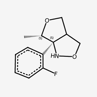 C[C@@H]1OCC2CON[C@]21c1ccccc1F